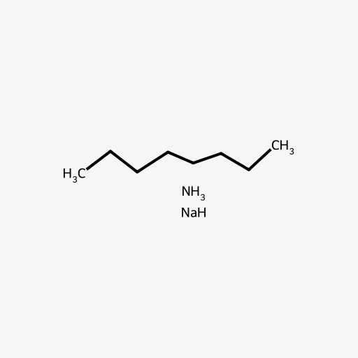 CCCCCCCC.N.[NaH]